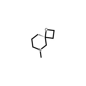 CN1CCC[C@]2(CCO2)C1